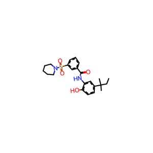 CCC(C)(C)c1ccc(O)c(NC(=O)c2cccc(S(=O)(=O)N3CCCCC3)c2)c1